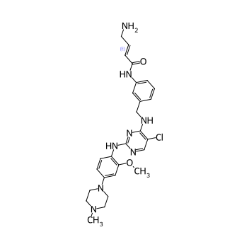 COc1cc(N2CCN(C)CC2)ccc1Nc1ncc(Cl)c(NCc2cccc(NC(=O)/C=C/CN)c2)n1